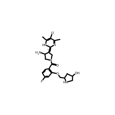 CC1=N/C(=C2\CN(C(=O)c3ccc(F)cc3OCC3CC(O)CN3)CC2N)NC(C)=C1Cl